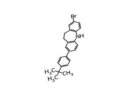 CC(C)(C)c1ccc(-c2ccc3c(c2)CCc2cc(Br)ccc2N3)cc1